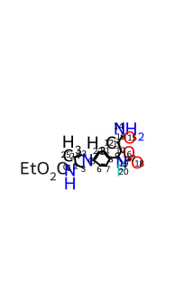 CCOC(=O)NC1CN(c2ccc(C3C(C(C)C(N)=O)OC(=O)N3F)cc2)CC1C